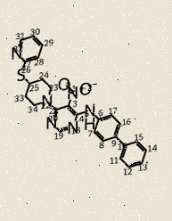 O=[N+]([O-])c1c(Nc2ccc(-c3cc[c]cc3)cc2)ncnc1N1CCC(Sc2ccccn2)CC1